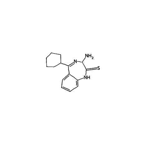 NC1N=C(C2CCCCC2)c2ccccc2NC1=S